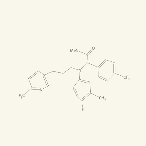 CNC(=O)C(c1ccc(C(F)(F)F)cc1)N(CCCc1ccc(C(F)(F)F)nc1)c1ccc(F)c(C)c1